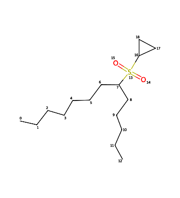 CCCCCCCC(CCCCC)S(=O)(=O)C1CC1